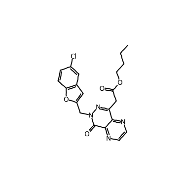 CCCCOC(=O)Cc1nn(Cc2cc3cc(Cl)ccc3o2)c(=O)c2nccnc12